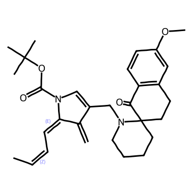 C=c1c(CN2CCCCC23CCc2cc(OC)ccc2C3=O)cn(C(=O)OC(C)(C)C)/c1=C/C=C\C